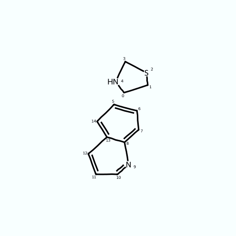 C1CSCN1.c1ccc2ncccc2c1